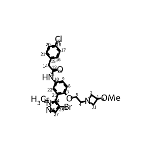 COC1CN(CCOc2ccc(NC(=O)Cc3ccc(Cl)cc3)cc2-c2c(Br)cnn2C)C1